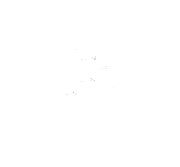 CN(C)c1cc(=O)[nH]c(=O)[nH]1.[Zn]